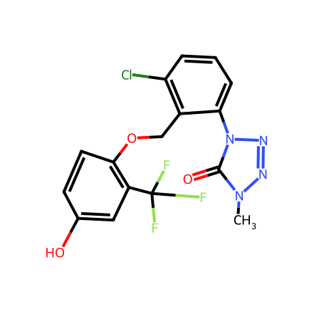 Cn1nnn(-c2cccc(Cl)c2COc2ccc(O)cc2C(F)(F)F)c1=O